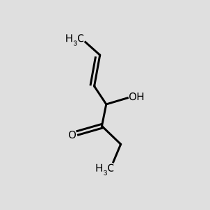 CC=CC(O)C(=O)CC